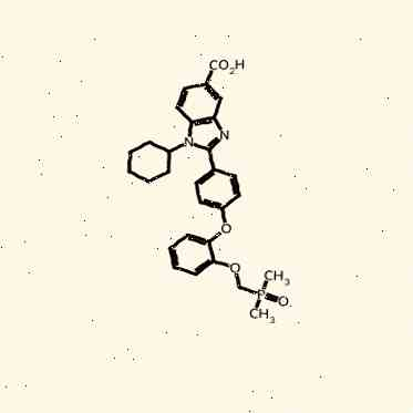 CP(C)(=O)COc1ccccc1Oc1ccc(-c2nc3cc(C(=O)O)ccc3n2C2CCCCC2)cc1